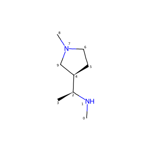 CN[C@@H](C)[C@@H]1CCN(C)C1